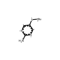 CC(C)(C)Sc1cnc(N)nc1